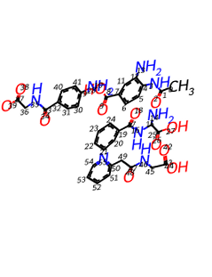 CC(=O)Nc1ccc(C(=O)O)cc1N.NC(NC(=O)c1ccccc1)C(=O)O.Nc1ccc(C(=O)NCC(=O)O)cc1.O=C(O)CNC(=O)Cc1ccccn1